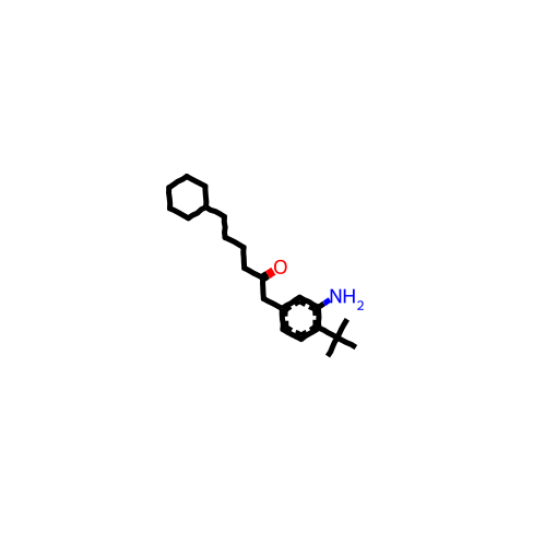 CC(C)(C)c1ccc(CC(=O)CCCCC2CCCCC2)cc1N